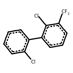 FC(F)(F)c1cccc(-c2ccccc2Cl)c1Cl